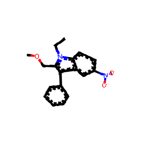 CCn1c(COC)c(-c2ccccc2)c2cc([N+](=O)[O-])ccc21